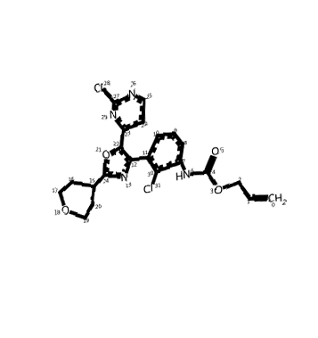 C=CCOC(=O)Nc1cccc(-c2nc(C3CCOCC3)oc2-c2ccnc(Cl)n2)c1Cl